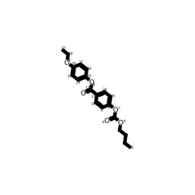 CCCCOC(=O)Oc1ccc(C(=O)Oc2ccc(OCC)cc2)cc1